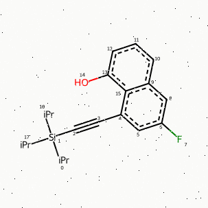 CC(C)[Si](C#Cc1cc(F)cc2cccc(O)c12)(C(C)C)C(C)C